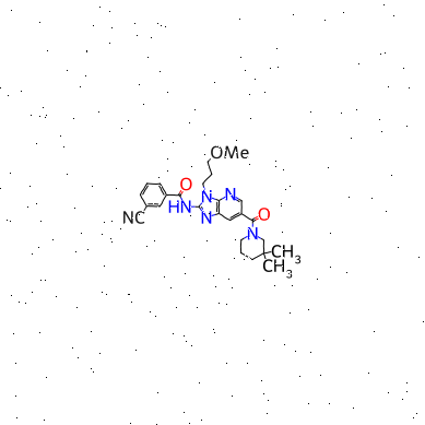 COCCCn1c(NC(=O)c2cccc(C#N)c2)nc2cc(C(=O)N3CCCC(C)(C)C3)cnc21